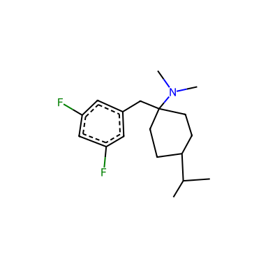 CC(C)C1CCC(Cc2cc(F)cc(F)c2)(N(C)C)CC1